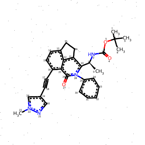 C[C@H](NC(=O)OC(C)(C)C)c1c2c3c(ccc(C#Cc4cnn(C)c4)c3c(=O)n1-c1ccccc1)CC2